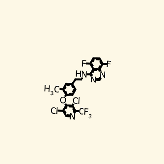 Cc1cc(CCNc2ncnc3c(F)ccc(F)c23)ccc1Oc1c(Cl)cnc(C(F)(F)F)c1Cl